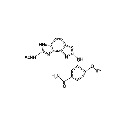 CC(=O)Nc1nc2c(ccc3sc(Nc4cc(C(N)=O)ccc4OC(C)C)nc32)[nH]1